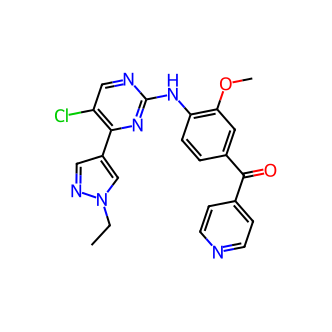 CCn1cc(-c2nc(Nc3ccc(C(=O)c4ccncc4)cc3OC)ncc2Cl)cn1